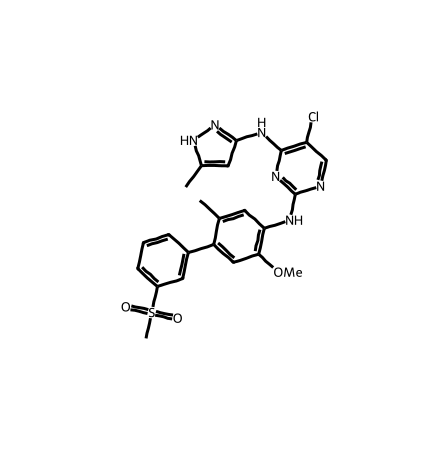 COc1cc(-c2cccc(S(C)(=O)=O)c2)c(C)cc1Nc1ncc(Cl)c(Nc2cc(C)[nH]n2)n1